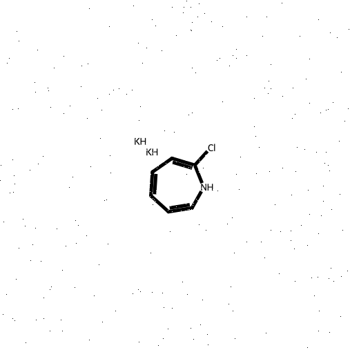 ClC1=CC=CC=CN1.[KH].[KH]